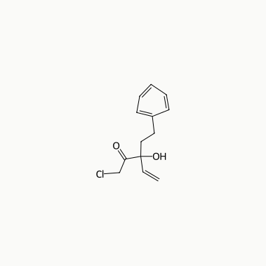 C=CC(O)(CCc1ccccc1)C(=O)CCl